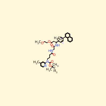 C=C(/C=C\C(=C/C)c1cccc2ccccc12)[C@H](CC(=O)OCCOC)NC(=O)CNC(=O)CCCN(C(=O)OC(C)(C)C)c1cc(C)ccn1